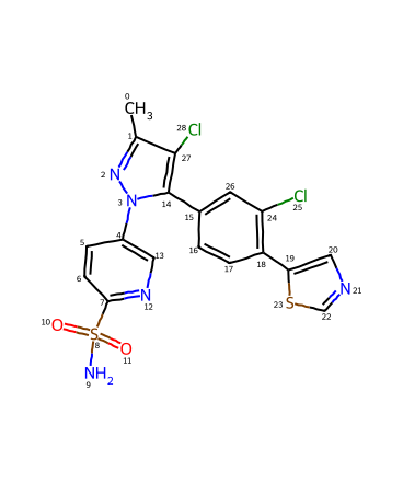 Cc1nn(-c2ccc(S(N)(=O)=O)nc2)c(-c2ccc(-c3cncs3)c(Cl)c2)c1Cl